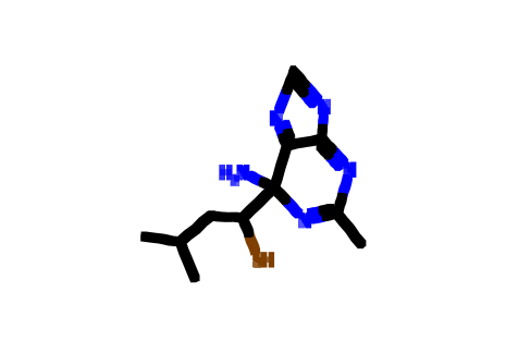 CC1=NC(N)(C(S)CC(C)C)C2=NC=NC2=N1